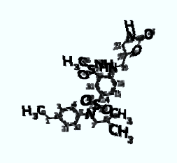 CCc1ccc(N(CC(C)C)S(=O)(=O)c2ccc(NCC3CNC(=O)O3)c(S(C)(=N)=O)c2)cc1